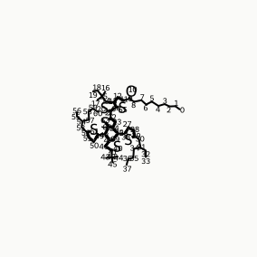 CCCCCCCCCC(=O)c1cc2c(C(C)(C)CC)sc(-c3cc4c(-c5ccc(CC(CC)CCCC)s5)c5sc(C(C)(C)C)cc5c(-c5ccc(CC(CC)CCCC)s5)c4s3)c2s1